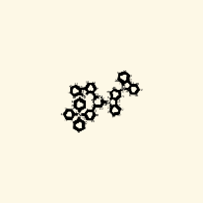 c1ccc(S(c2ccccc2)(c2ccccc2)c2cccc(-c3cc(-n4c5ccccc5c5cc(-n6c7ccccc7c7ccccc76)ccc54)nc(-c4cccc5c4sc4ccccc45)n3)c2)cc1